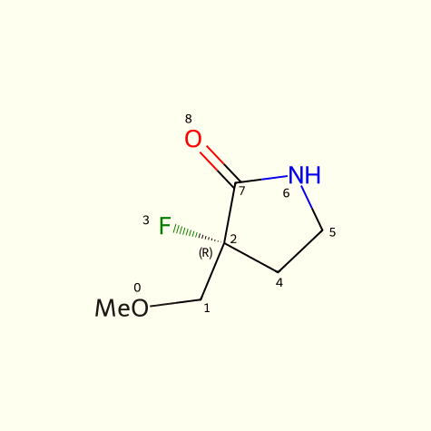 COC[C@]1(F)CCNC1=O